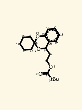 CC(C)(C)C(=O)OCCC1OC2(CCCCC2)Oc2ccccc21